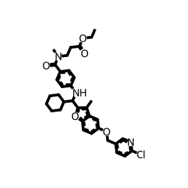 CCOC(=O)CCN(C)C(=O)c1ccc(NC(c2oc3ccc(OCc4ccc(Cl)nc4)cc3c2C)C2CCCCC2)cc1